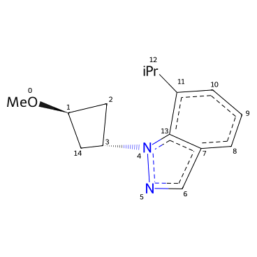 CO[C@H]1C[C@H](n2ncc3cccc(C(C)C)c32)C1